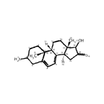 C[C@]12CCC(N)CC1=CC=C1[C@H]2CC[C@]2(C)C(O)C(=O)C[C@@H]12